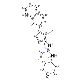 C=N/C(=N\n1ccc(-c2cnc3nccnc3c2)c1C)NC1CCOCC1